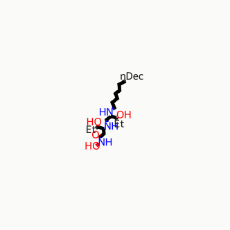 CCCCCCCCCCCCCCCCCNC(CNC(CC(=O)NO)C(O)CC)C(O)CC